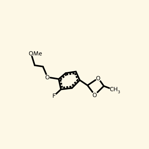 COCCOc1ccc(C2OC(C)O2)cc1F